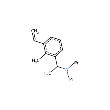 C=Cc1cccc(C(C)N(C(C)C)C(C)C)c1C